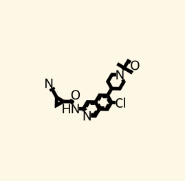 CC1(N2CCC(c3cc4cc(NC(=O)C5CC5C#N)ncc4cc3Cl)CC2)COC1